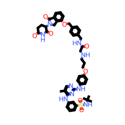 Cc1cnc(Nc2ccc(OCCCNCC(=O)NCc3ccc(COc4cccc5c4CN(C4CCC(=O)NC4=O)C5=O)cc3)cc2)nc1Nc1cccc(S(=O)(=O)NC(C)(C)C)c1